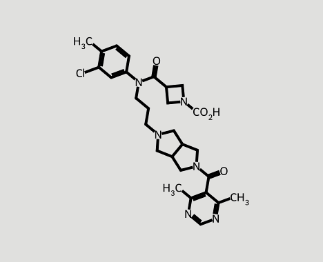 Cc1ccc(N(CCCN2CC3CN(C(=O)c4c(C)ncnc4C)CC3C2)C(=O)C2CN(C(=O)O)C2)cc1Cl